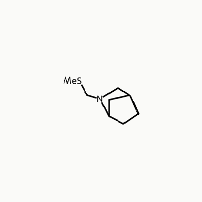 CSCN1CC2CCC1C2